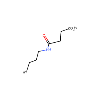 CC(C)CCCNC(=O)CCC(=O)O